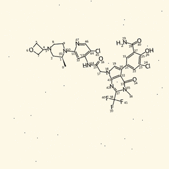 C[C@H]1CN(C2COC2)CCN1c1cc(NC(=O)Cn2cc(-c3cc(Cl)c(O)c(C(N)=O)c3)c3c(=O)n(C)c(C(F)(F)F)nc32)c(Cl)cn1